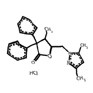 Cc1cc(C)n(CC2OC(=O)C(c3ccccc3)(c3ccccc3)C2C)n1.Cl